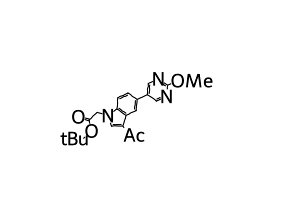 COc1ncc(-c2ccc3c(c2)c(C(C)=O)cn3CC(=O)OC(C)(C)C)cn1